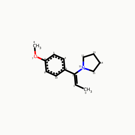 CC=C(c1ccc(OC)cc1)N1CCCC1